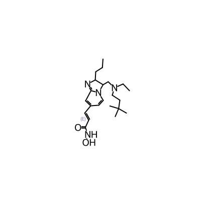 CCCC1N=C2C=C(/C=C/C(=O)NO)C=CN2C1CN(CC)CCC(C)(C)C